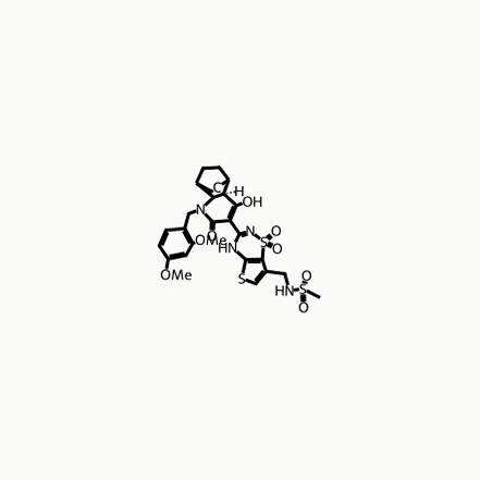 COc1ccc(CN2C(=O)C(C3=NS(=O)(=O)c4c(CNS(C)(=O)=O)csc4N3)=C(O)[C@@H]3C4CCC(CC4)C32)c(OC)c1